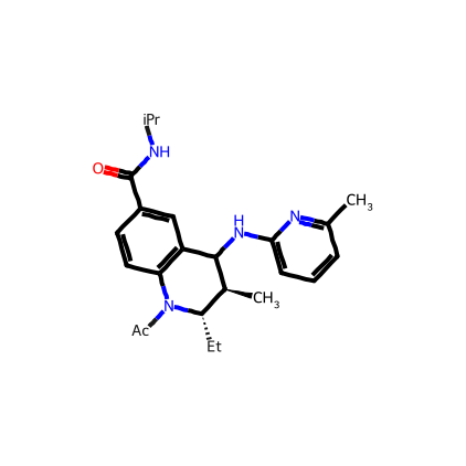 CC[C@H]1[C@H](C)C(Nc2cccc(C)n2)c2cc(C(=O)NC(C)C)ccc2N1C(C)=O